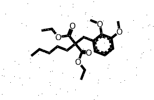 CCCCCC(Cc1cccc(OC)c1OC)(C(=O)OCC)C(=O)OCC